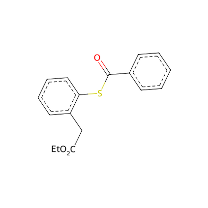 CCOC(=O)Cc1ccccc1SC(=O)c1ccccc1